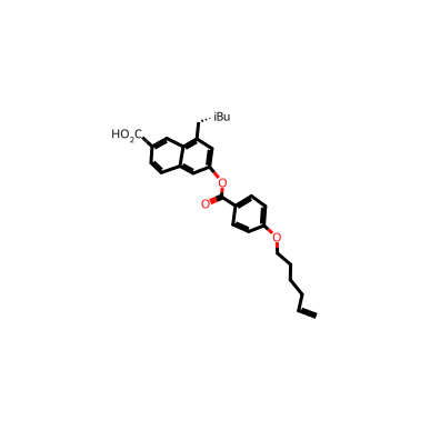 C=CCCCCOc1ccc(C(=O)Oc2cc(C[C@@H](C)CC)c3cc(C(=O)O)ccc3c2)cc1